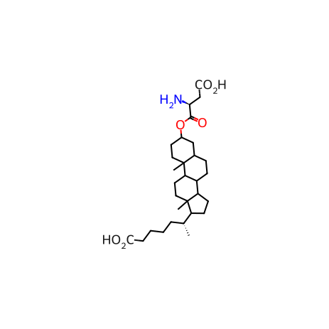 C[C@H](CCCCC(=O)O)C1CCC2C3CCC4CC(OC(=O)[C@@H](N)CC(=O)O)CCC4(C)C3CCC21C